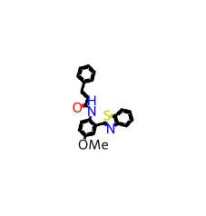 COc1ccc(NC(=O)C=Cc2ccccc2)c(-c2nc3ccccc3s2)c1